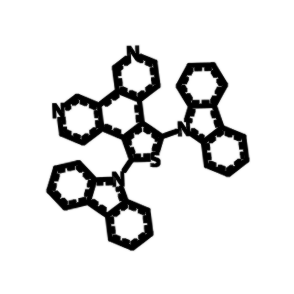 c1ccc2c(c1)c1ccccc1n2-c1sc(-n2c3ccccc3c3ccccc32)c2c3ccncc3c3cnccc3c12